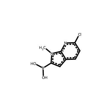 Cn1c(B(O)O)cc2ccc(Cl)nc21